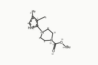 Cc1c(C(C)C)c[nH]c1N1CCN(C(=O)OC(C)(C)C)CC1